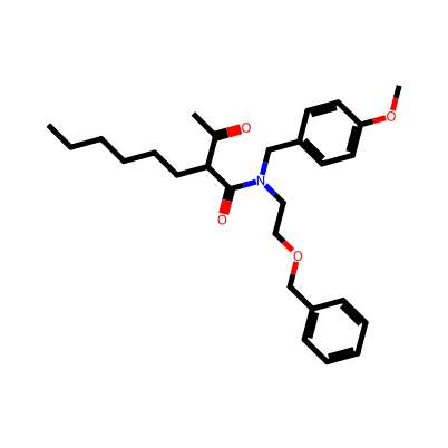 CCCCCCC(C(C)=O)C(=O)N(CCOCc1ccccc1)Cc1ccc(OC)cc1